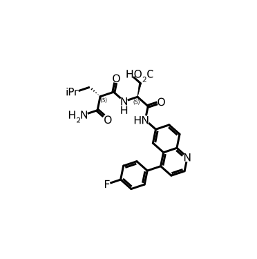 CC(C)C[C@@H](C(N)=O)C(=O)N[C@@H](CC(=O)O)C(=O)Nc1ccc2nccc(-c3ccc(F)cc3)c2c1